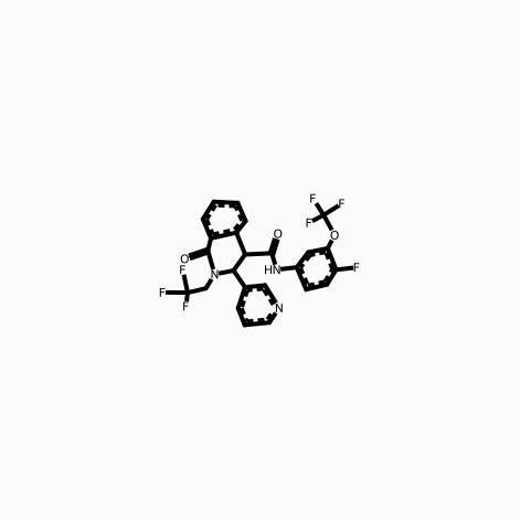 O=C(Nc1ccc(F)c(OC(F)(F)F)c1)C1c2ccccc2C(=O)N(CC(F)(F)F)C1c1cccnc1